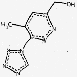 Cc1cc(CO)nnc1-n1cnnn1